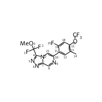 COC(F)(F)c1nnc2cnc(-c3cc(C)c(OC(F)(F)F)cc3F)cn12